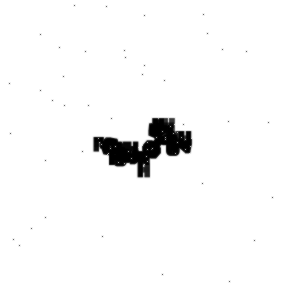 O=C(Nc1cc(-c2ccc(NC3CN(C(=O)Nc4ccc(F)cc4F)C3)cc2)c2cc[nH]c2n1)C1CC1